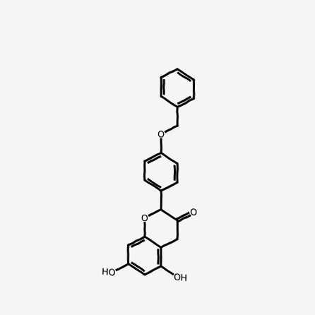 O=C1Cc2c(O)cc(O)cc2OC1c1ccc(OCc2ccccc2)cc1